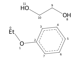 CCOc1ccccc1.OCCO